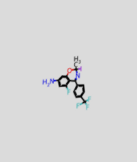 CC1(I)N=C(c2ccc(C(F)(F)F)cc2)c2c(F)cc(N)cc2O1